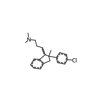 CN(C)CC/C=C1\c2ccccc2CC1(C)c1ccc(Cl)cc1